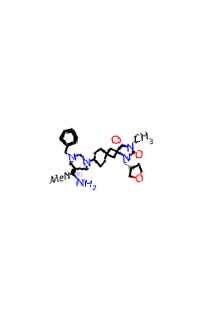 CN/C(N)=C1\CN(Cc2ccccc2)CN(C2CCC3(CC2)CC2(C3)C(=O)N(C)C(=O)N2C[C@@H]2CCOC2)C1